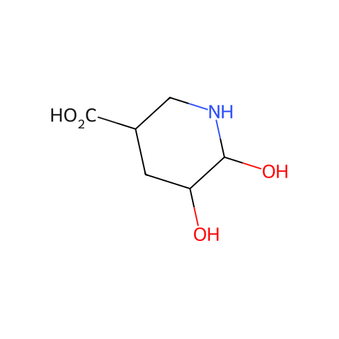 O=C(O)C1CNC(O)C(O)C1